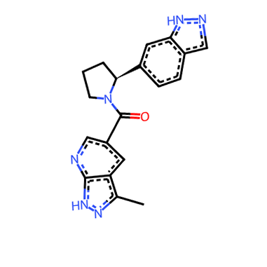 Cc1n[nH]c2ncc(C(=O)N3CCC[C@H]3c3ccc4cn[nH]c4c3)cc12